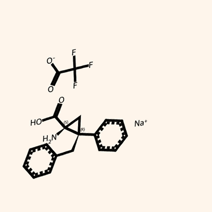 N[C@@]1(C(=O)O)C[C@]1(Cc1ccccc1)c1ccccc1.O=C([O-])C(F)(F)F.[Na+]